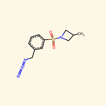 CC1CN(S(=O)(=O)c2cccc(CN=[N+]=[N-])c2)C1